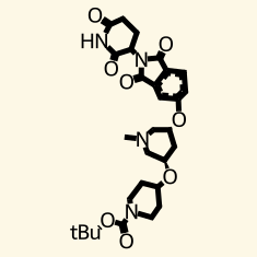 CN1C[C@H](Oc2ccc3c(c2)C(=O)N(C2CCC(=O)NC2=O)C3=O)C[C@@H](OC2CCN(C(=O)OC(C)(C)C)CC2)C1